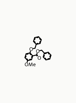 COc1ccc(OCc2ccccc2)c(C(=O)OCc2ccccc2)c1